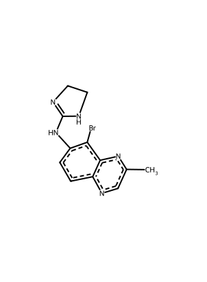 Cc1cnc2ccc(NC3=NCCN3)c(Br)c2n1